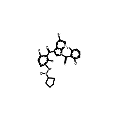 O=C(c1c(F)ccc(N[S+]([O-])C2CCCC2)c1F)c1cn(C(=O)c2c(Cl)cccc2Cl)c2ncc(Br)cc12